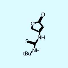 CC(C)(C)NC(=S)NC1=CC(=O)OC1